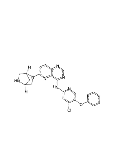 Clc1cc(Nc2ncnc3ccc(N4C[C@@H]5C[C@H]4CN5)nc23)ncc1Oc1ccccc1